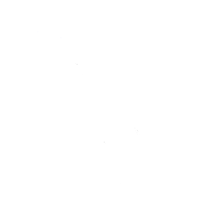 C=C/C=C\C=C(/C)c1ccccc1-n1c2ccccc2c2cc(-c3ccc4c(c3)c3ccccc3n4-c3ccc(-c4ccccc4-c4ccc(-c5cccc(-c6cccc(-c7ccccc7)c6)c5)cc4)cc3)ccc21